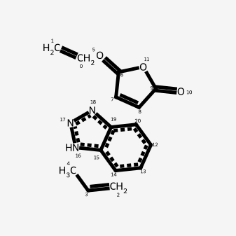 C=C.C=CC.O=C1C=CC(=O)O1.c1ccc2[nH]nnc2c1